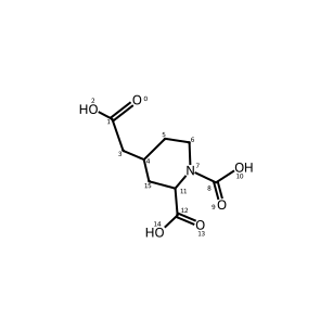 O=C(O)CC1CCN(C(=O)O)C(C(=O)O)C1